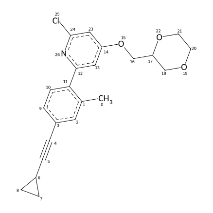 Cc1cc(C#CC2CC2)ccc1-c1cc(OCC2COCCO2)cc(Cl)n1